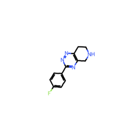 Fc1ccc(-c2nnc3c(n2)CNCC3)cc1